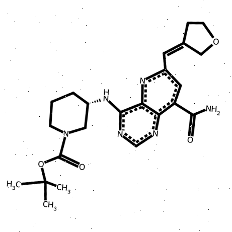 CC(C)(C)OC(=O)N1CCC[C@H](Nc2ncnc3c(C(N)=O)cc(/C=C4/CCOC4)nc23)C1